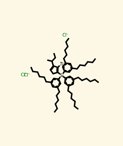 CCCCCCc1cc(CCCCCC)cc([Si](C2=[C]([Ti+3])C(C(C)CC)=CC2)(c2cc(CCCCCC)cc(CCCCCC)c2)c2cc(CCCCCC)cc(CCCCCC)c2)c1.[Cl-].[Cl-].[Cl-]